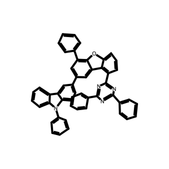 c1ccc(-c2nc(-c3ccccc3)nc(-c3cccc4oc5c(-c6ccccc6)cc(-c6ccc7c(c6)c6ccccc6n7-c6ccccc6)cc5c34)n2)cc1